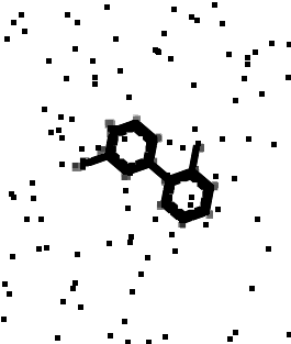 Cc1ccc[c]c1-c1ccnc(F)c1